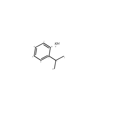 CC(C)c1ccccc1.[KH]